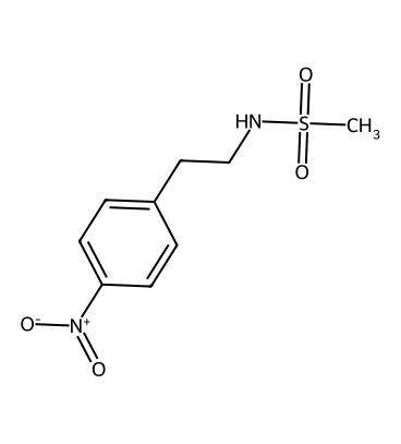 CS(=O)(=O)NCCc1ccc([N+](=O)[O-])cc1